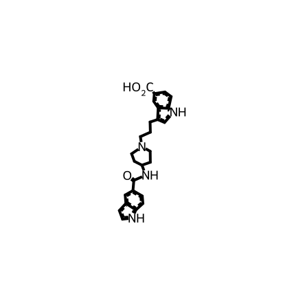 O=C(O)c1ccc2[nH]cc(CCCN3CCC(NC(=O)c4ccc5[nH]ccc5c4)CC3)c2c1